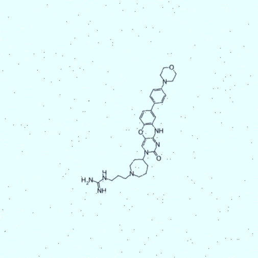 N=C(N)NCCCN1CCCC(n2cc3c(nc2=O)Nc2cc(-c4ccc(N5CCOCC5)cc4)ccc2O3)CC1